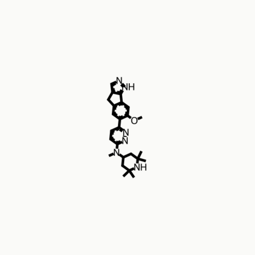 COc1cc2c(cc1-c1ccc(N(C)C3CC(C)(C)NC(C)(C)C3)nn1)Cc1cn[nH]c1-2